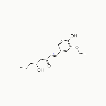 CCCC(O)CC(=O)/C=C/c1ccc(O)c(OCC)c1